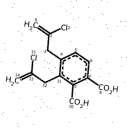 C=C(Cl)Cc1ccc(C(=O)O)c(C(=O)O)c1CC(=C)Cl